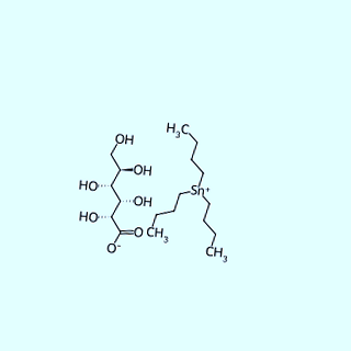 CCC[CH2][Sn+]([CH2]CCC)[CH2]CCC.O=C([O-])[C@H](O)[C@@H](O)[C@H](O)[C@H](O)CO